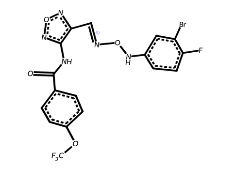 O=C(Nc1nonc1/C=N/ONc1ccc(F)c(Br)c1)c1ccc(OC(F)(F)F)cc1